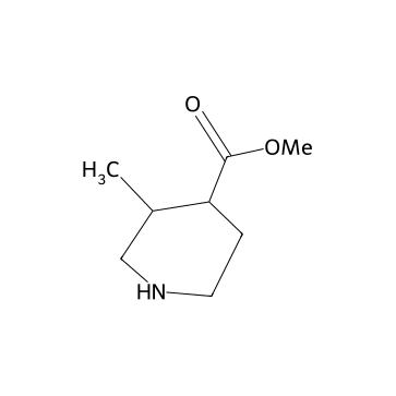 COC(=O)C1CCNCC1C